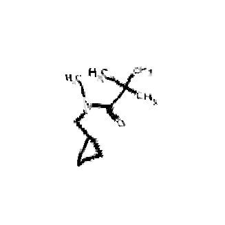 CN(CC1CC1)C(=O)C(C)(C)C